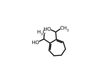 CC(O)C1=CCCCC=C1C(C)O